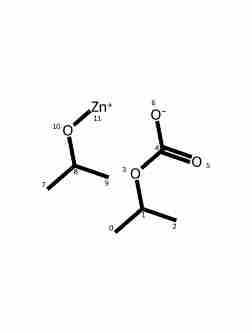 CC(C)OC(=O)[O-].CC(C)[O][Zn+]